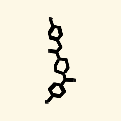 O=C(Cc1ccc(Br)cc1)N1CCN(C(=O)c2ccc(Cl)cc2)CC1